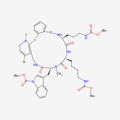 CN1C(=O)[C@H](CCCCNC(=O)OC(C)(C)C)NC(=O)[C@H](CCCNC(=O)OC(C)(C)C)NCc2ccccc2SC2=C(CNC(=O)[C@@H]1Cc1cn(C(=O)OC(C)(C)C)c3ccccc13)C(Br)=CCN2F